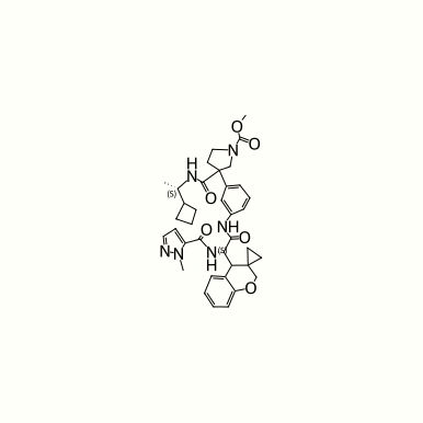 COC(=O)N1CCC(C(=O)N[C@@H](C)C2CCC2)(c2cccc(NC(=O)[C@@H](NC(=O)c3ccnn3C)C3c4ccccc4OCC34CC4)c2)C1